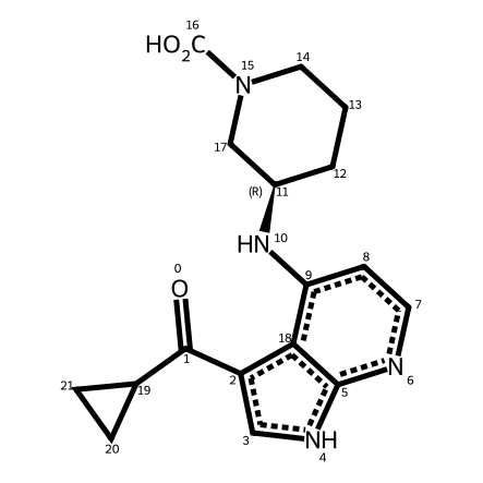 O=C(c1c[nH]c2nccc(N[C@@H]3CCCN(C(=O)O)C3)c12)C1CC1